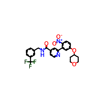 O=C(NCc1cccc(C(F)(F)F)c1)c1ccnc(-c2cc(OC3CCOCC3)ccc2[N+](=O)[O-])c1